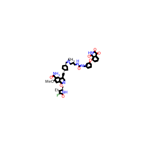 CC[C@@H]1[C@H](F)C(=O)N[C@@H]1COc1ncc(C#C[C@H]2CC[C@H](CN(C)CCCNC(=O)NCc3cccc(Oc4cccc5c4C(=O)NC(=O)C5=O)c3)CC2)c2cc(C(N)=O)c(OC)cc12